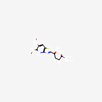 COc1cc2sc(C(=O)C[C@@H](C)C(=O)O)nc2nc1OC